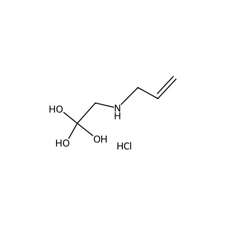 C=CCNCC(O)(O)O.Cl